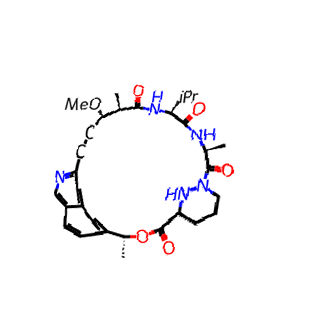 CO[C@@H]1CCc2cc3cc(ccc3cn2)[C@@H](C)OC(=O)[C@]2(C)CCCN(N2)C(=O)[C@H](C)NC(=O)[C@H](C(C)C)NC(=O)[C@@H]1C